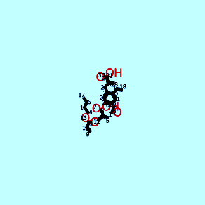 C1CO1.C=C(C)C(=O)O.C=CC(=O)OCCCC.C=Cc1ccccc1CC(=C)C(=O)O